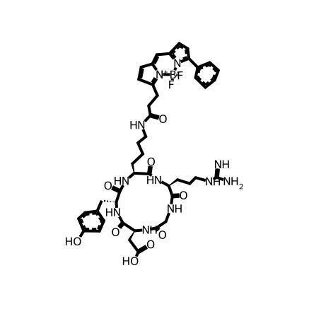 N=C(N)NCCC[C@@H]1NC(=O)[C@H](CCCCNC(=O)CCC2=[N+]3C(=Cc4ccc(-c5ccccc5)n4[B-]3(F)F)C=C2)NC(=O)[C@@H](Cc2ccc(O)cc2)NC(=O)[C@H](CC(=O)O)NC(=O)CNC1=O